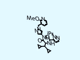 COc1ncccc1Cn1cc(NC(=O)C(NC(=O)c2ccnn2C(C)C)C(C2CC2)C2CC2)cn1